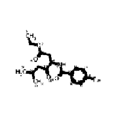 CCOC(=O)CC(NC(=O)c1ccc(F)cc1)C(=O)CC(C)C